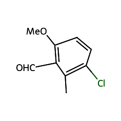 COc1ccc(Cl)c(C)c1C=O